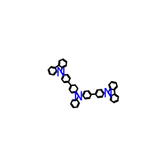 C1=C(c2ccc(-n3c4ccccc4c4ccccc43)cc2)CCC(N(c2ccccc2)c2ccc(-c3ccc(-n4c5ccccc5c5ccccc54)cc3)cc2)=C1